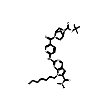 CCCCCCCn1c(C(=O)N(C)C)cc2cnc(Nc3ccc(C(=O)N4CC5CC4CN5C(=O)OC(C)(C)C)cn3)nc21